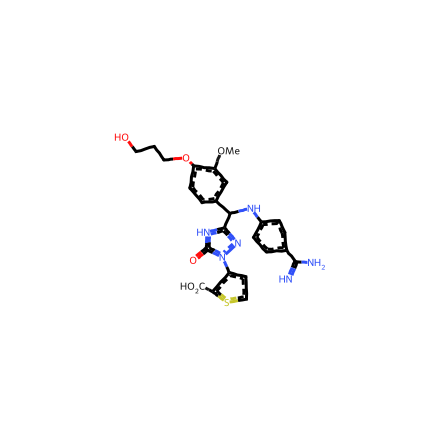 COc1cc(C(Nc2ccc(C(=N)N)cc2)c2nn(-c3ccsc3C(=O)O)c(=O)[nH]2)ccc1OCCCO